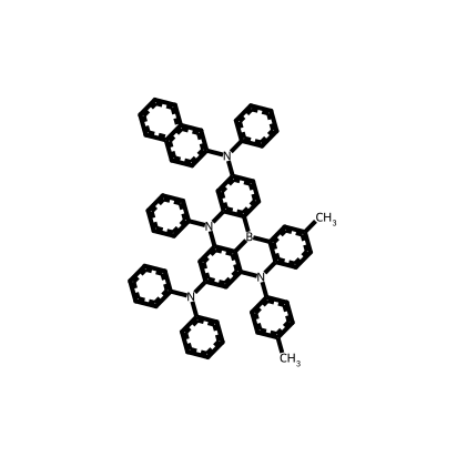 Cc1ccc(N2c3ccc(C)cc3B3c4ccc(N(c5ccccc5)c5ccc6ccccc6c5)cc4N(c4ccccc4)c4cc(N(c5ccccc5)c5ccccc5)cc2c43)cc1